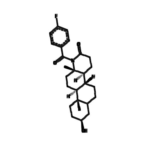 C[C@]12CC[C@H](O)CC1CC[C@@H]1[C@@H]2CC[C@@]2(C)[C@H]1CCC(=O)N2C(=O)c1ccc(F)cc1